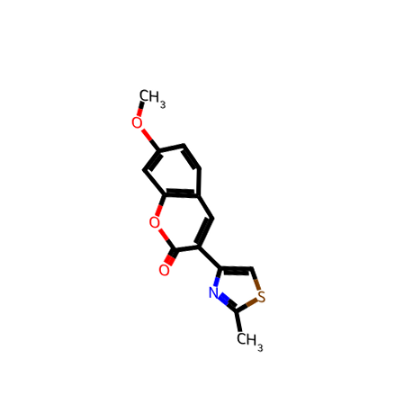 COc1ccc2cc(-c3csc(C)n3)c(=O)oc2c1